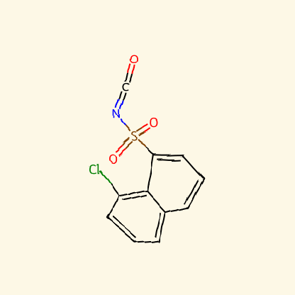 O=C=NS(=O)(=O)c1cccc2cccc(Cl)c12